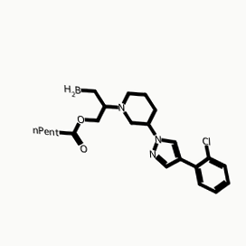 BCC(COC(=O)CCCCC)N1CCCC(n2cc(-c3ccccc3Cl)cn2)C1